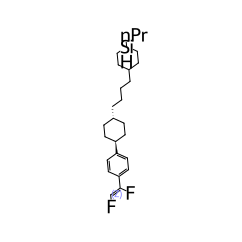 CCC[SiH]1CCC(CCCC[C@H]2CC[C@H](c3ccc(/C(F)=C/F)cc3)CC2)CC1